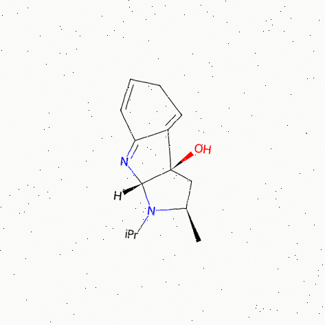 CC(C)N1[C@H](C)C[C@@]2(O)C3=CCC=CC3=N[C@@H]12